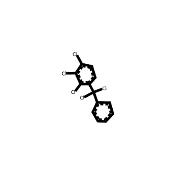 Clc1ccc(C(Cl)(Cl)c2ccccc2)c(Cl)c1Cl